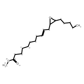 CCCCCC1OC1CC=CCCCCCCCC(=O)OC